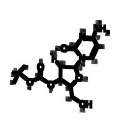 CC(C)(C)OC(=O)OC1C(CO)OC(n2ccc(N)nc2=O)C1F